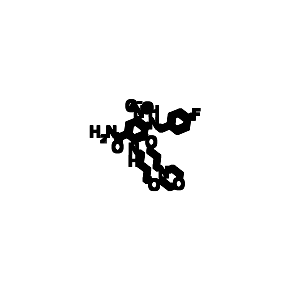 NC(=O)c1cc([N+](=O)[O-])c(NCc2ccc(F)cc2)c(OCCCN2CCOCC2)c1NCCCC=O